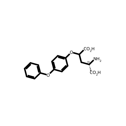 N[C@@H](CC(Oc1ccc(Oc2ccccc2)cc1)C(=O)O)C(=O)O